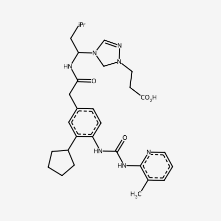 Cc1cccnc1NC(=O)Nc1ccc(CC(=O)NC(CC(C)C)N2C=NN(CCC(=O)O)C2)cc1C1CCCC1